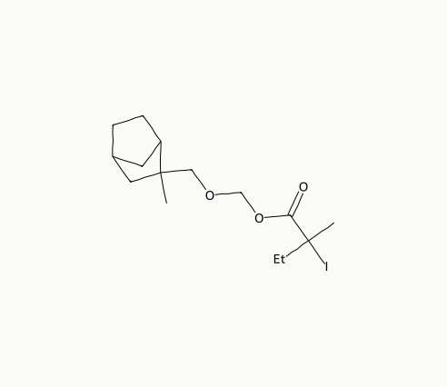 CCC(C)(I)C(=O)OCOCC1(C)CC2CCC1C2